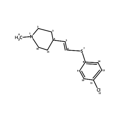 CN1CCC(/C=C/Sc2ccc(Cl)cc2)CC1